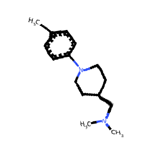 Cc1ccc(N2CCC(CN(C)C)CC2)cc1